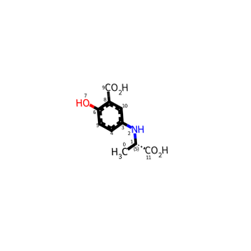 C[C@H](Nc1ccc(O)c(C(=O)O)c1)C(=O)O